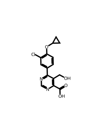 O=C(O)c1ncnc(-c2ccc(OC3CC3)c(Cl)c2)c1CO